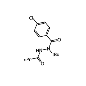 CCCC(=O)NN(C(=O)c1ccc(Cl)cc1)C(C)(C)C